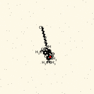 CN(C)c1ccc2c(c1)Oc1cc(N(C)C)ccc1C21c2cc(C(=O)NCCOCCOCCCCCCCl)ccc2C(=O)N1S(N)(=O)=O